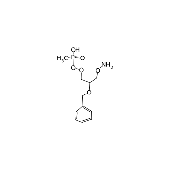 CP(=O)(O)OOCC(CON)OCc1ccccc1